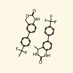 CC1NC(=O)Nc2ccc(-c3ccc(C(F)(F)F)cc3)cc21.O=C1Nc2ccc(-c3ccc(C(F)(F)F)cc3)cc2CO1